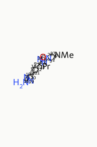 CNC1CCN(c2nc(C(C)(c3ccc(-c4cnc(N)nc4)cc3)C(C)C)no2)CC1